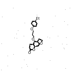 CCc1ccc(OCCCOc2c3ccoc3cc3oc(=O)ccc23)cc1